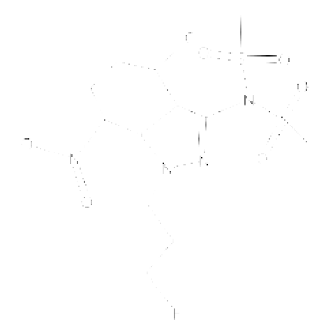 CS(=O)(=O)N(C1=NN(CCCF)C2C1C(Cl)CCC2[N+](=O)[O-])S(C)(=O)=O